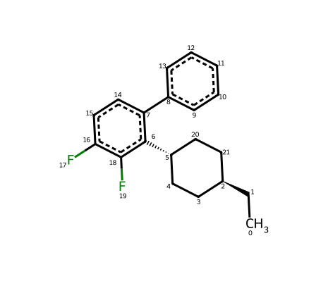 CC[C@H]1CC[C@H](c2c(-c3ccccc3)ccc(F)c2F)CC1